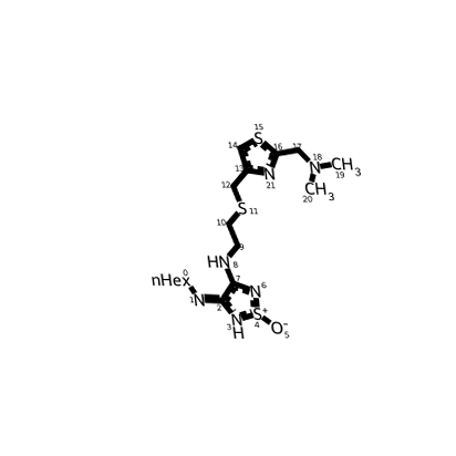 CCCCCCN=c1[nH][s+]([O-])nc1NCCSCc1csc(CN(C)C)n1